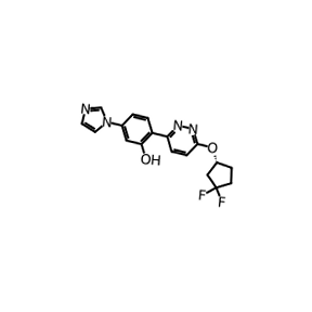 Oc1cc(-n2ccnc2)ccc1-c1ccc(O[C@@H]2CCC(F)(F)C2)nn1